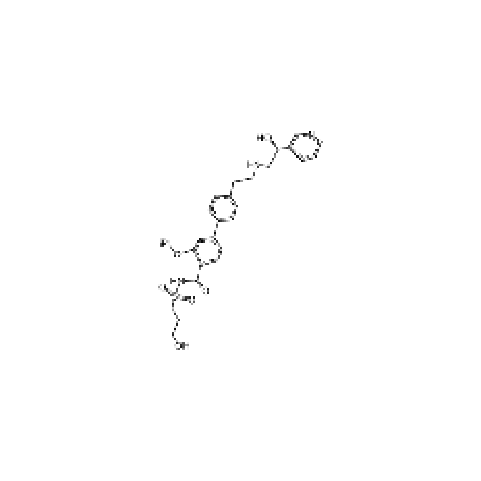 CC(C)Oc1cc(-c2ccc(CCNC[C@@H](O)c3cccnc3)cc2)ccc1C(=O)NS(=O)(=O)CCCO